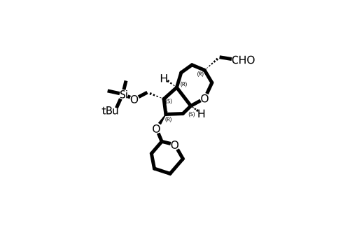 CC(C)(C)[Si](C)(C)OC[C@@H]1[C@H]2CC[C@H](CC=O)CO[C@H]2C[C@H]1OC1CCCCO1